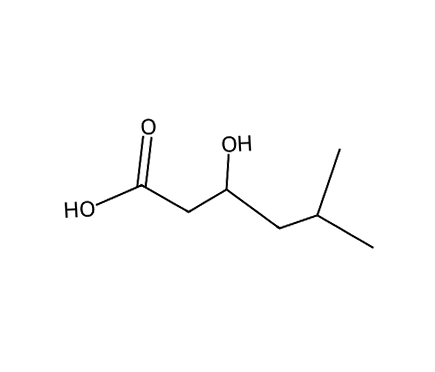 CC(C)CC(O)CC(=O)O